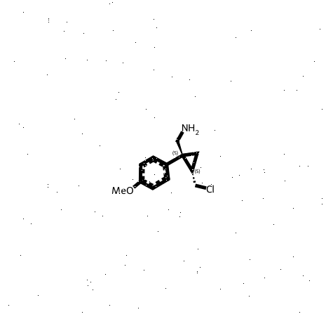 COc1ccc([C@]2(CN)C[C@@H]2CCl)cc1